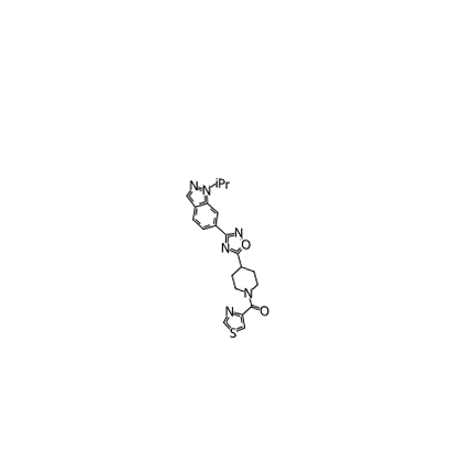 CC(C)n1ncc2ccc(-c3noc(C4CCN(C(=O)c5cscn5)CC4)n3)cc21